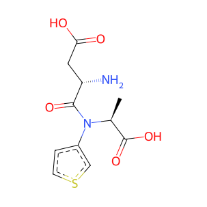 C[C@@H](C(=O)O)N(C(=O)[C@@H](N)CC(=O)O)c1ccsc1